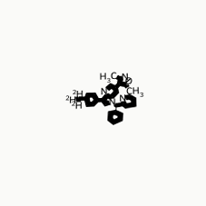 [2H]C([2H])([2H])c1ccc(-c2cn([C@@H](c3ccccc3)c3ccccn3)c3cc(-c4c(C)noc4C)cnc23)cc1